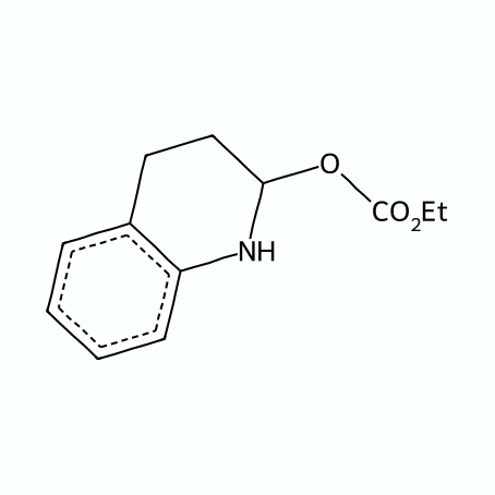 CCOC(=O)OC1CCc2ccccc2N1